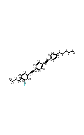 CCCCCCc1ccc(C#Cc2ccc(C#Cc3ccc(CCCC)c(F)c3)cc2)cc1